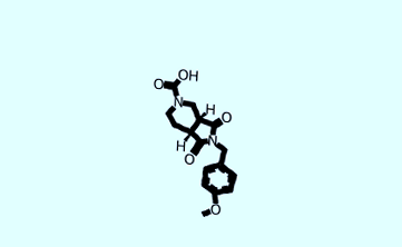 COc1ccc(CN2C(=O)[C@H]3CN(C(=O)O)CC[C@H]3C2=O)cc1